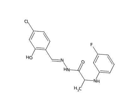 CC(Nc1cccc(F)c1)C(=O)NN=Cc1ccc(Cl)cc1O